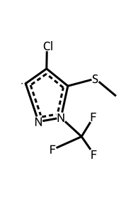 CSc1c(Cl)[c]nn1C(F)(F)F